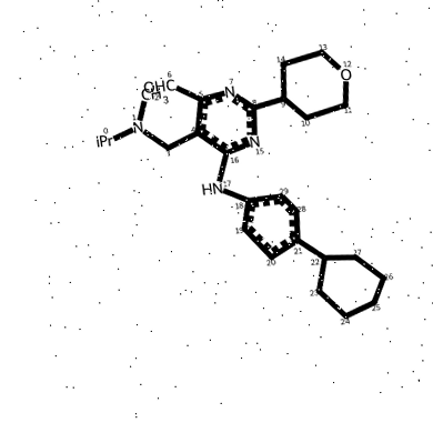 CC(C)N(C)Cc1c(C=O)nc(C2CCOCC2)nc1Nc1ccc(C2CCCCC2)cc1